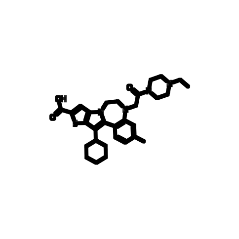 CCN1CCN(C(=O)CN2CCn3c(c(C4CCCCC4)c4sc(C(=O)O)cc43)-c3ccc(C)cc32)CC1